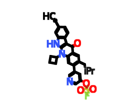 C#Cc1ccc2c(c1)[nH]c1c2c(=O)c2cc(CC(C)C)c(-c3cncc(OS(=O)(=O)F)c3)cc2n1C1CCC1